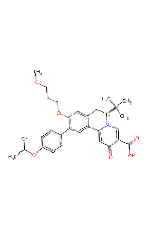 COCCCOc1cc2c(cc1-c1ccc(OC(C)C)cc1)-c1cc(=O)c(C(=O)O)cn1[C@H](C(C)(C)C)C2